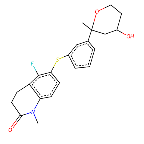 CN1C(=O)CCc2c1ccc(Sc1cccc(C3(C)CC(O)CCO3)c1)c2F